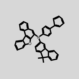 CC1(C)c2ccccc2-c2cc(N(c3ccc(-c4ccccc4)cc3)c3cc4ccccc4c4c3oc3ccccc34)ccc21